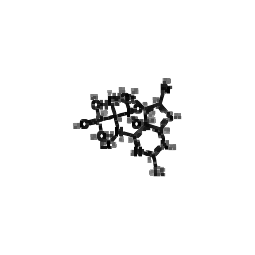 CCc1nc(N(CC)C(CC)(P(=O)(O)O)P(=O)(O)O)c2c(CC)c(Br)sc2n1